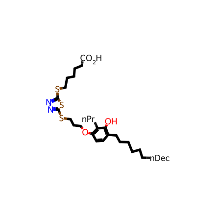 CCCCCCCCCCCCCCCCc1ccc(OCCCSc2nnc(SCCCCCC(=O)O)s2)c(CCC)c1O